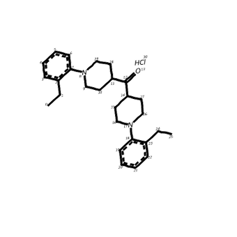 CCc1ccccc1N1CCC(C(=O)C2CCN(c3ccccc3CC)CC2)CC1.Cl